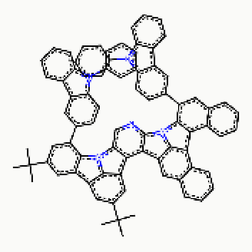 CC(C)(C)c1cc(-c2ccc3c(c2)c2ccccc2n3-c2ccccc2)c2c(c1)c1cc(C(C)(C)C)cc3c4c5c6cc7ccccc7c7c8c9ccccc9cc(-c9ccc%10c(c9)c9ccccc9n%10-c9ccccc9)c8n(c5ncc4n2c13)c67